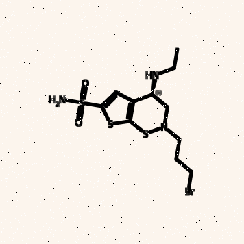 CCN[C@H]1CN(CCCBr)Sc2sc(S(N)(=O)=O)cc21